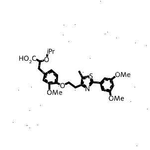 COc1cc(OC)cc(-c2nc(CCOc3ccc(CC(OC(C)C)C(=O)O)cc3OC)c(C)s2)c1